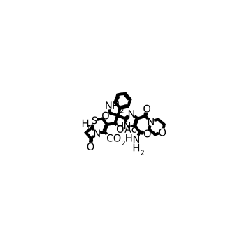 CC(=O)OC(C1=C(C(=O)O)N2C(=O)C[C@H]2SC1)C(C(N)=O)(c1ccccc1)c1nc(C(=O)N2CCOCC2)c(C(N)=O)[nH]1